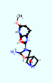 COc1ccc2nc(N3CC4(CN5CCC4CC5)OC3N)oc2n1